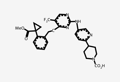 COC(=O)C1(c2ccccc2CCc2nc(Nc3ccc(C4CCN(C(=O)O)CC4)nc3)ncc2C(F)(F)F)CC1